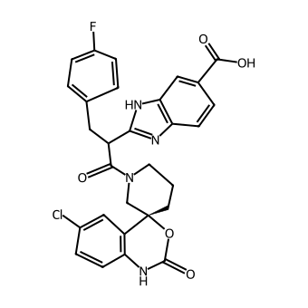 O=C1Nc2ccc(Cl)cc2[C@@]2(CCCN(C(=O)C(Cc3ccc(F)cc3)c3nc4ccc(C(=O)O)cc4[nH]3)C2)O1